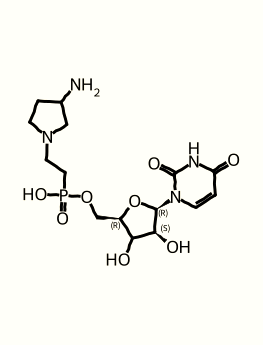 NC1CCN(CCP(=O)(O)OC[C@H]2O[C@@H](n3ccc(=O)[nH]c3=O)[C@@H](O)C2O)C1